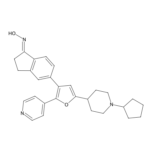 ON=C1CCc2cc(-c3cc(C4CCN(C5CCCC5)CC4)oc3-c3ccncc3)ccc21